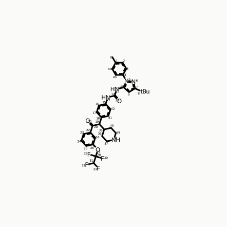 Cc1ccc(-n2nc(C(C)(C)C)cc2NC(=O)Nc2ccc(C(C(=O)c3cccc(OC(F)(F)C(F)F)c3)C3CCNCC3)cc2)cc1